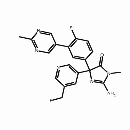 Cc1ncc(-c2cc(C3(c4cncc(CF)c4)N=C(N)N(C)C3=O)ccc2F)cn1